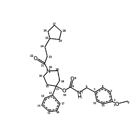 COc1ccc(CNC(=O)OC2(c3ccccc3)CCN(C(=O)CCC3CCCC3)CC2)cc1